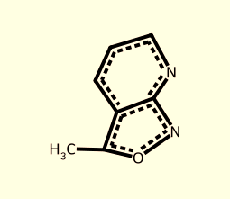 Cc1onc2ncccc12